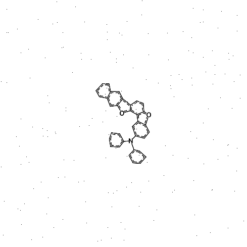 c1ccc(N(c2ccccc2)c2ccc3oc4ccc5c6cc7ccccc7cc6oc5c4c3c2)cc1